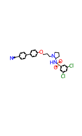 N#Cc1ccc(-c2ccc(OCCCN3CCCC3NS(=O)(=O)c3cc(Cl)cc(Cl)c3)cc2)cc1